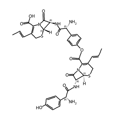 CC=CC1=C(C(=O)O)N2C(=O)[C@@H](NC(=O)[C@H](N)c3ccc(OC(=O)C4=C(C=CC)CS[C@H]5[C@H](NC(=O)[C@H](N)c6ccc(O)cc6)C(=O)N45)cc3)[C@@H]2SC1